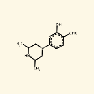 CC1CN(c2ccc(C=O)c(O)n2)CC(C)N1